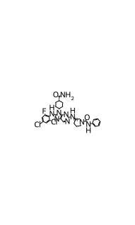 NC(=O)[C@H]1CC[C@H](n2c(Nc3c(F)cc(Cl)cc3Cl)nc3cnc(N[C@@H]4CCCN(C(=O)Nc5ccccc5)C4)nc32)CC1